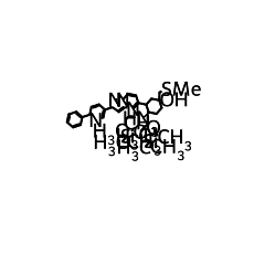 CSC[C@@]1(O)CC[C@@H](NC(OC(C)[Si](C)(C)C)OC(C)[Si](C)(C)C)C(c2ccn3nc(-c4ccc(-c5ccccc5)nc4)cc3n2)C1